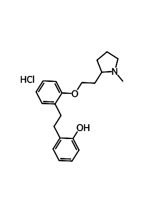 CN1CCCC1CCOc1ccccc1CCc1ccccc1O.Cl